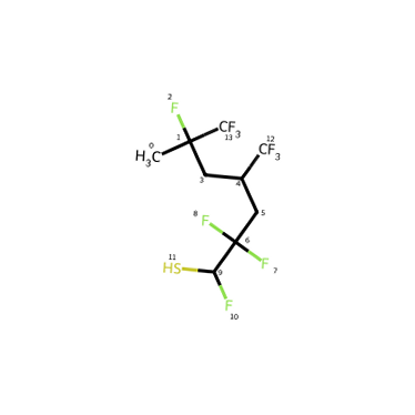 CC(F)(CC(CC(F)(F)C(F)S)C(F)(F)F)C(F)(F)F